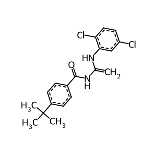 C=C(NC(=O)c1ccc(C(C)(C)C)cc1)Nc1cc(Cl)ccc1Cl